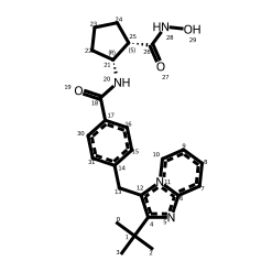 CC(C)(C)c1nc2ccccn2c1Cc1ccc(C(=O)N[C@@H]2CCC[C@@H]2C(=O)NO)cc1